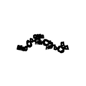 COc1ccc(OCC(CNC2CCN(C[C@H](O)COC3=CC(Cl)=C(Cl)C=CC3)CC2)OC)cc1